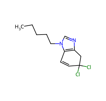 CCCCCn1cnc2c1C=CC(Cl)(Cl)C2